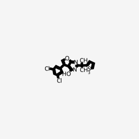 CC(C)(c1nc(O)c2c(-c3cc(Cl)cc(Cl)c3)coc2n1)c1cccs1